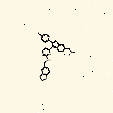 CN(C)Cc1ccn2c(-c3ccnc(NCc4ccc5c(c4)CCO5)n3)c(-c3ccc(F)cc3)nc2c1